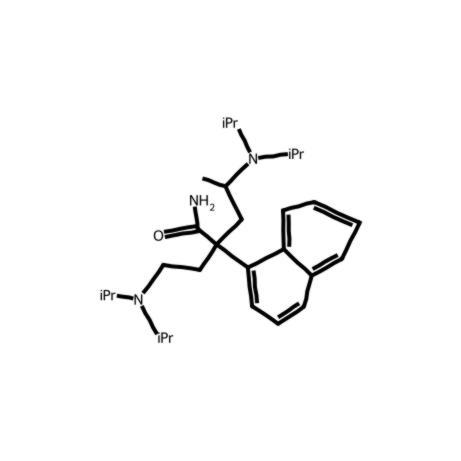 CC(C)N(CCC(CC(C)N(C(C)C)C(C)C)(C(N)=O)c1cccc2ccccc12)C(C)C